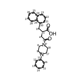 O=C(O)[C@@H](CC(=O)N1CCN(c2ccccc2)CC1)Cc1cccc2ccccc12